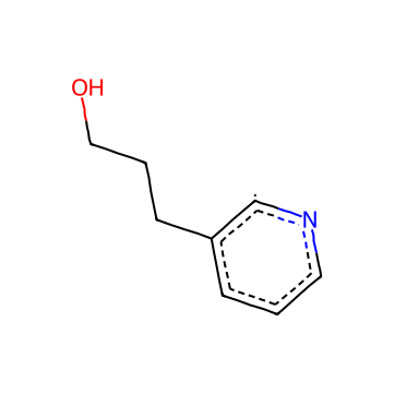 OCCCc1[c]nccc1